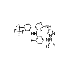 C=CC(=O)Nc1ccc(F)c(Nc2nc(Nc3cnn(C)c3)ncc2-c2ccc(C3(C(F)(F)F)CC3)cc2)c1